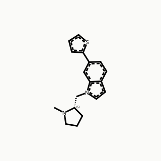 CN1CCC[C@H]1Cn1ccc2ccc(-c3cccs3)cc21